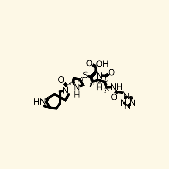 C[C@@H](NC(=O)Cn1cnnn1)[C@H]1C(=O)N2C(C(=O)O)=C(S[C@@H]3CN[C@H](C(=O)N4CCC5(CCC6CNC(C6)C5)C4)C3)[C@H](C)[C@H]12